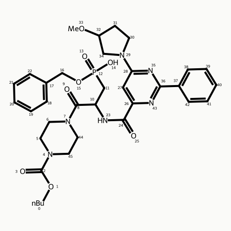 CCCCOC(=O)N1CCN(C(=O)C(CP(=O)(O)OCc2ccccc2)NC(=O)c2cc(N3CCC(OC)C3)nc(-c3ccccc3)n2)CC1